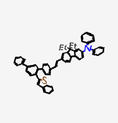 CCC1(CC)c2cc(/C=C/c3ccc(-c4cc(-c5ccccc5)ccc4-c4cc5ccccc5s4)cc3)ccc2-c2ccc(N(c3ccccc3)c3ccccc3)cc21